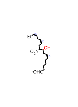 CC/C=C\C/C=C\CC(C(O)C/C=C\CCCC[C]=O)[N+](=O)[O-]